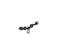 CN1CCN(c2ccc(-c3cc(-c4ccc(CCC5COC5)cc4)c[nH]3)cc2)CC1